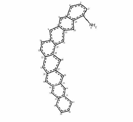 Nc1cccc2cc3cc4ccc5cc6cc7cc8ccccc8cc7cc6cc5c4cc3cc12